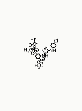 CCS(=O)(=O)c1ccc(S(=O)(=O)N(C)OC(=O)C(F)(F)F)cc1Nc1cc(Nc2ccc(Cl)cc2)ncn1